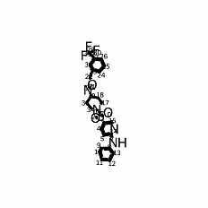 O=S(=O)(c1ccc(Nc2ccccc2)nc1)N1CCC(=NOCc2cccc(C(F)(F)F)c2)CC1